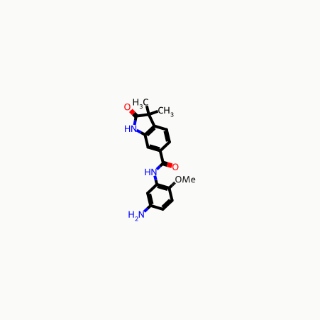 COc1ccc(N)cc1NC(=O)c1ccc2c(c1)NC(=O)C2(C)C